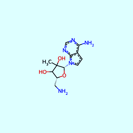 CC1(O)C(O)[C@@H](CN)O[C@H]1n1ccc2c(N)ncnc21